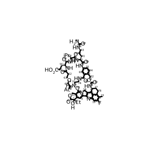 CC[C@@]1(O)C(=O)OCc2c1cc1n(c2=O)Cc2c-1nc1cc(F)c(C)c3c1c2[C@@H](NC(=O)OCc1ccc(NC(=O)[C@H](CCCNC(N)=O)NC(=O)[C@@H](NC(=O)[C@H](CCC(=O)O)NC(=O)CCOCCC(C)=O)C(C)C)cc1C(=O)NCCN)CC3